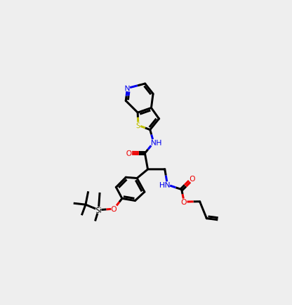 C=CCOC(=O)NCC(C(=O)Nc1cc2ccncc2s1)c1ccc(O[Si](C)(C)C(C)(C)C)cc1